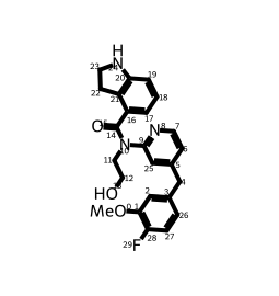 COc1cc(Cc2ccnc(N(CCO)C(=O)c3cccc4c3CCN4)c2)ccc1F